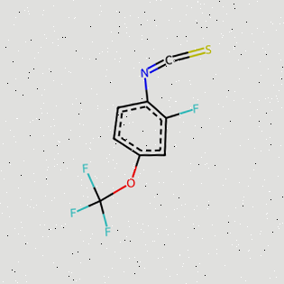 Fc1cc(OC(F)(F)F)ccc1N=C=S